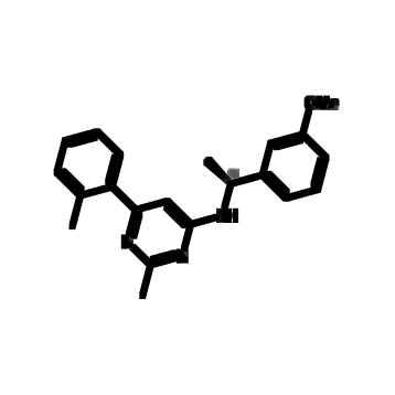 COc1cccc([C@H](C)Nc2cc(-c3ccccc3C)nc(C)n2)c1